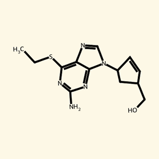 CCSc1nc(N)nc2c1ncn2C1C=CC(CO)C1